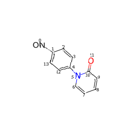 O=Nc1ccc(-n2ccccc2=O)cc1